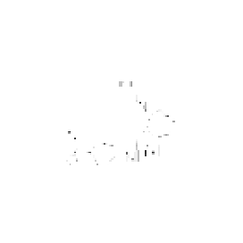 CC(C)CNc1cncc2[nH]c(Nc3ccc(C(N)=O)cc3)cc12